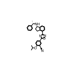 CC(C)Oc1ccc(-c2nc(-c3cccc4c3CC[C@@H]4N[C@@H](C)c3ccccc3)no2)cc1C#N